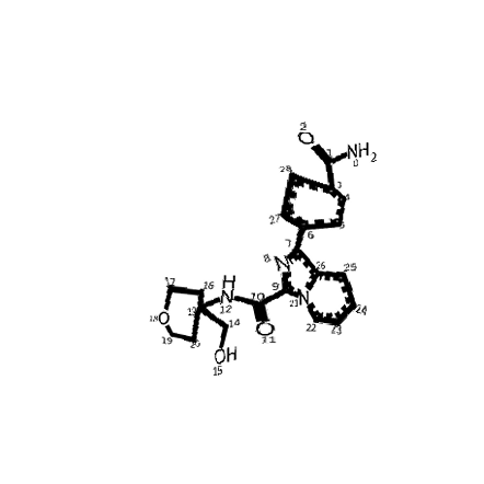 NC(=O)c1ccc(-c2nc(C(=O)NC3(CO)CCOCC3)n3ccccc23)cc1